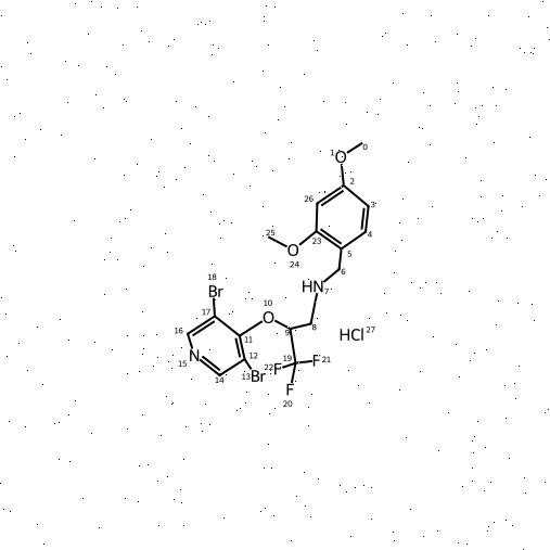 COc1ccc(CNCC(Oc2c(Br)cncc2Br)C(F)(F)F)c(OC)c1.Cl